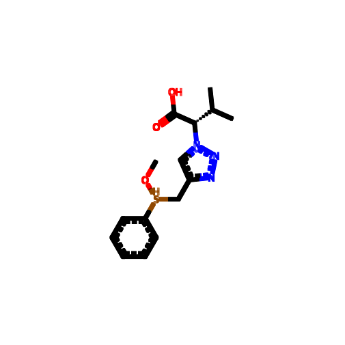 CO[SH](Cc1cn([C@H](C(=O)O)C(C)C)nn1)c1ccccc1